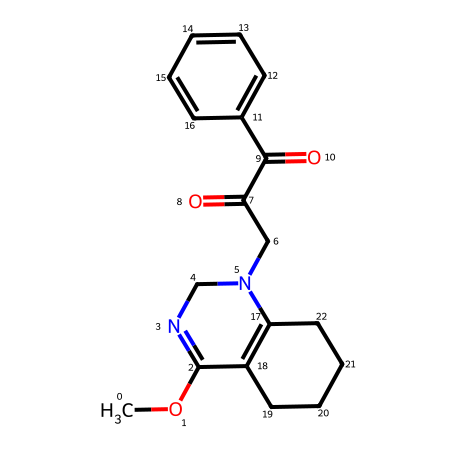 COC1=NCN(CC(=O)C(=O)c2ccccc2)C2=C1CCCC2